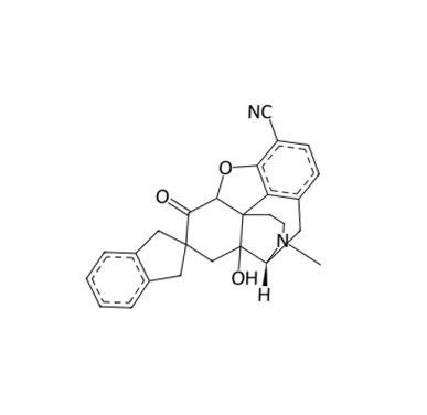 CN1CCC23c4c5ccc(C#N)c4OC2C(=O)C2(Cc4ccccc4C2)CC3(O)[C@H]1C5